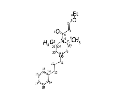 CCOC=CC(=O)N1[C@H](C)CN(CCCc2ccccc2)C[C@@H]1C